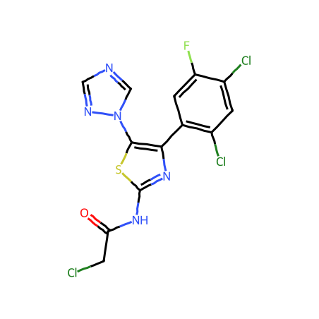 O=C(CCl)Nc1nc(-c2cc(F)c(Cl)cc2Cl)c(-n2cncn2)s1